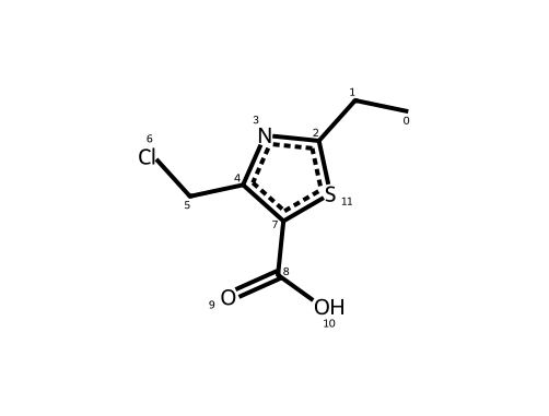 CCc1nc(CCl)c(C(=O)O)s1